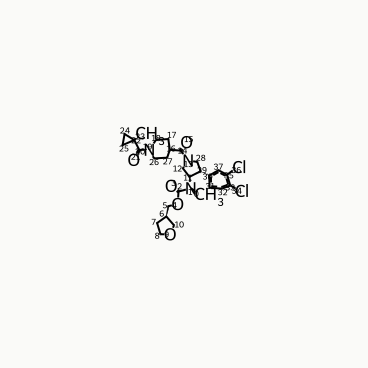 CN(C(=O)OC[C@@H]1CCOC1)[C@H]1CN(C(=O)C2CCN(C(=O)C3(C)CC3)CC2)C[C@@H]1c1ccc(Cl)c(Cl)c1